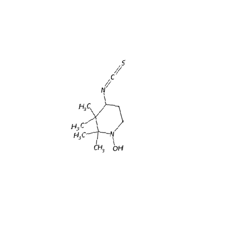 CC1(C)C(N=C=S)CCN(O)C1(C)C